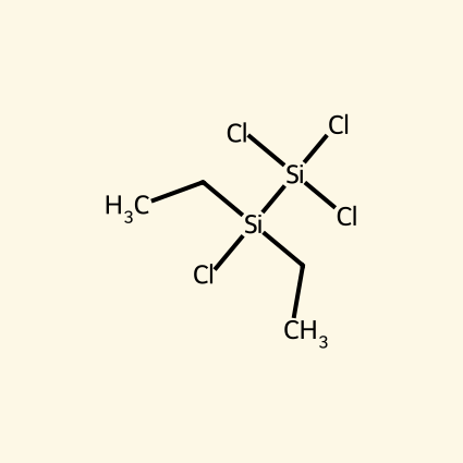 CC[Si](Cl)(CC)[Si](Cl)(Cl)Cl